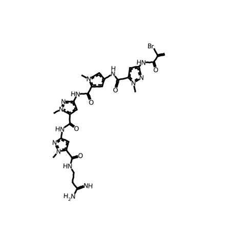 C=C(Br)C(=O)Nc1cc(C(=O)Nc2cc(C(=O)Nc3cc(C(=O)Nc4cc(C(=O)NCCC(=N)N)n(C)n4)n(C)n3)n(C)c2)n(C)n1